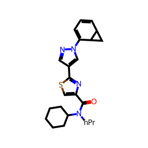 CCCN(C(=O)c1csc(-c2cnn(C3=CC=CC4CC34)c2)n1)C1CCCCC1